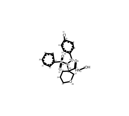 O=C(NO)[C@@]1(N(Oc2ccc(Cl)cc2)S(=O)(=O)c2ccccc2)CCCOC1